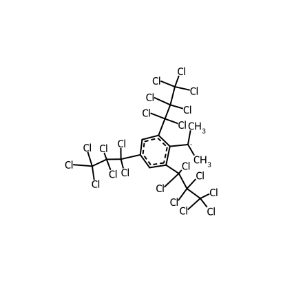 C[C](C)c1c(C(Cl)(Cl)C(Cl)(Cl)C(Cl)(Cl)Cl)cc(C(Cl)(Cl)C(Cl)(Cl)C(Cl)(Cl)Cl)cc1C(Cl)(Cl)C(Cl)(Cl)C(Cl)(Cl)Cl